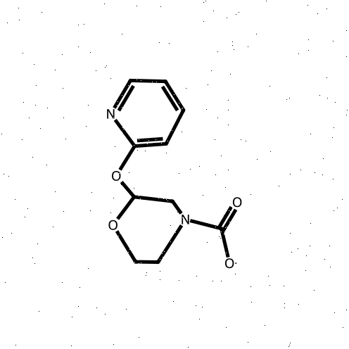 [O]C(=O)N1CCOC(Oc2ccccn2)C1